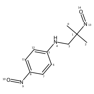 CC(C)(CNc1ccc(N=O)cc1)N=O